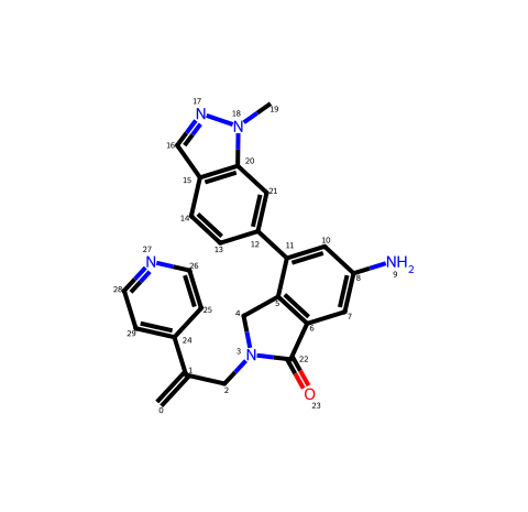 C=C(CN1Cc2c(cc(N)cc2-c2ccc3cnn(C)c3c2)C1=O)c1ccncc1